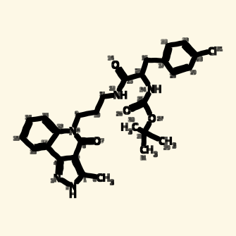 Cc1[nH]nc2c1c(=O)n(CCCNC(=O)C(Cc1ccc(Cl)cc1)NC(=O)OC(C)(C)C)c1ccccc21